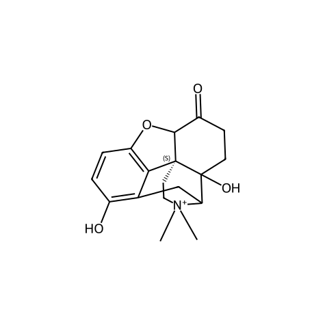 C[N+]1(C)CC[C@@]23c4c5ccc(O)c4CC1C2(O)CCC(=O)C3O5